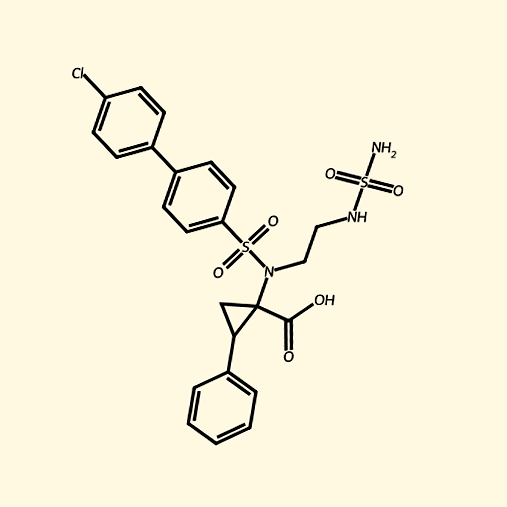 NS(=O)(=O)NCCN(C1(C(=O)O)CC1c1ccccc1)S(=O)(=O)c1ccc(-c2ccc(Cl)cc2)cc1